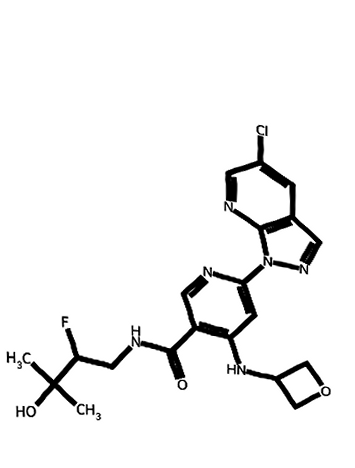 CC(C)(O)C(F)CNC(=O)c1cnc(-n2ncc3cc(Cl)cnc32)cc1NC1COC1